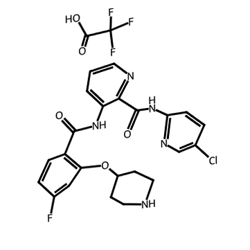 O=C(Nc1cccnc1C(=O)Nc1ccc(Cl)cn1)c1ccc(F)cc1OC1CCNCC1.O=C(O)C(F)(F)F